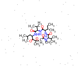 CC[C@H](C)C(NC(=O)C(C(C)C)N(C)C(C)=O)C(=O)NC(C(=O)NC(CC(C)C)C(=O)[C@@]1(C)CO1)C(C)C